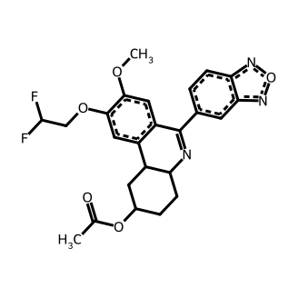 COc1cc2c(cc1OCC(F)F)C1CC(OC(C)=O)CCC1N=C2c1ccc2nonc2c1